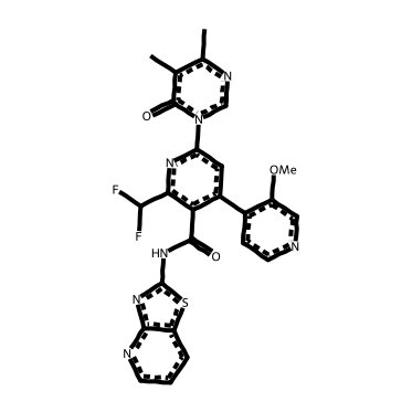 COc1cnccc1-c1cc(-n2cnc(C)c(C)c2=O)nc(C(F)F)c1C(=O)Nc1nc2ncccc2s1